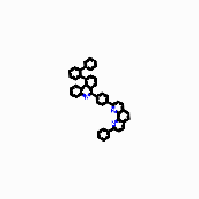 c1ccc(-c2ccc3ccc4ccc(-c5ccc(-c6nc7ccccc7c7c(-c8ccccc8-c8ccccc8)cccc67)cc5)nc4c3n2)cc1